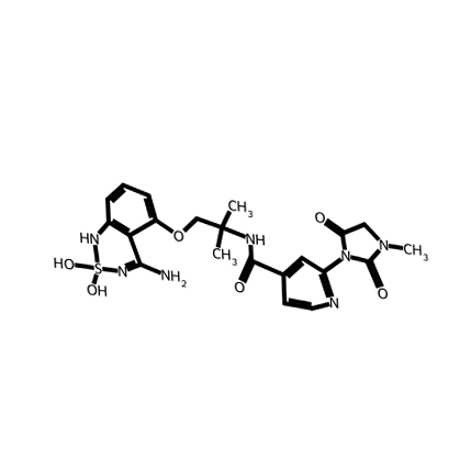 CN1CC(=O)N(c2cc(C(=O)NC(C)(C)COc3cccc4c3C(N)=NS(O)(O)N4)ccn2)C1=O